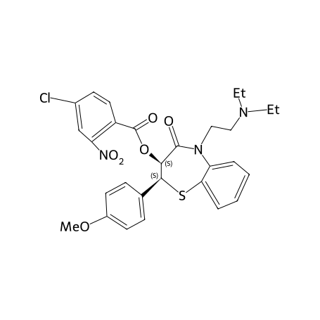 CCN(CC)CCN1C(=O)[C@H](OC(=O)c2ccc(Cl)cc2[N+](=O)[O-])[C@H](c2ccc(OC)cc2)Sc2ccccc21